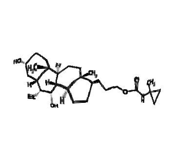 CC[C@H]1[C@@H](O)[C@@H]2[C@H](CC[C@]3(C)[C@@H](CCCOC(=O)NC4(C)CC4)CC[C@@H]23)[C@@]2(C)CC[C@@H](O)C[C@@H]12